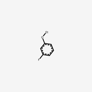 CCOc1cccc(F)c1